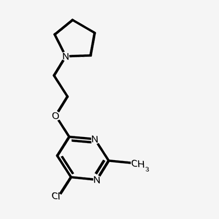 Cc1nc(Cl)cc(OCCN2CCCC2)n1